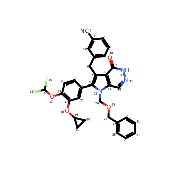 N#Cc1cccc(Cc2c(-c3ccc(OC(F)F)c(OC4CC4)c3)n(COCc3ccccc3)c3cn[nH]c(=O)c23)c1